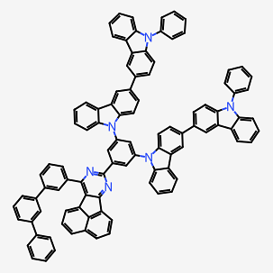 c1ccc(-c2cccc(-c3cccc(-c4nc(-c5cc(-n6c7ccccc7c7cc(-c8ccc9c(c8)c8ccccc8n9-c8ccccc8)ccc76)cc(-n6c7ccccc7c7cc(-c8ccc9c(c8)c8ccccc8n9-c8ccccc8)ccc76)c5)nc5c4-c4cccc6cccc-5c46)c3)c2)cc1